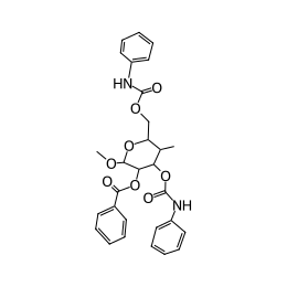 COC1OC(COC(=O)Nc2ccccc2)C(C)C(OC(=O)Nc2ccccc2)C1OC(=O)c1ccccc1